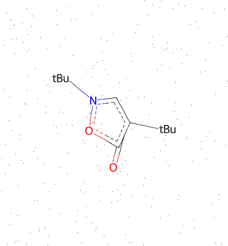 CC(C)(C)c1cn(C(C)(C)C)oc1=O